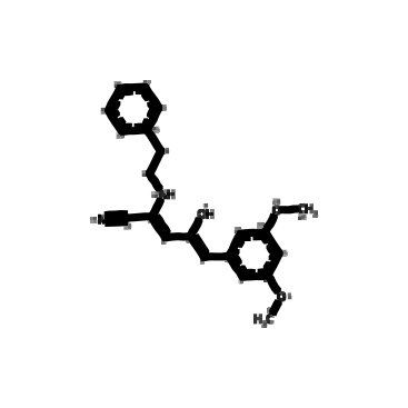 COc1cc(C=C(O)C=C(C#N)NCCc2ccccc2)cc(OC)c1